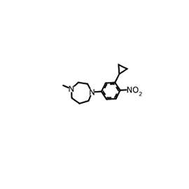 CN1CCCN(c2ccc([N+](=O)[O-])c(C3CC3)c2)CC1